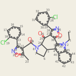 CCn1cc(C2CCN(C(=O)c3c(-c4ccccc4Cl)noc3C)C2C(=O)c2c(-c3ccccc3Cl)noc2C)c2ccccc21